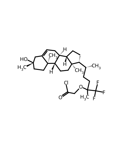 C[C@H](CCC(C)(OCC(=O)Cl)C(F)(F)F)[C@H]1CC[C@H]2[C@@H]3CC=C4C[C@@](C)(O)CC[C@]4(C)[C@H]3CC[C@]12C